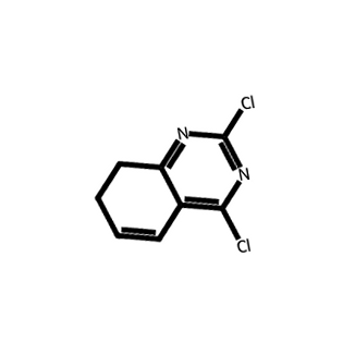 Clc1nc(Cl)c2c(n1)CCC=C2